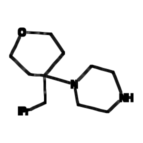 CC(C)CC1(N2CCNCC2)CCOCC1